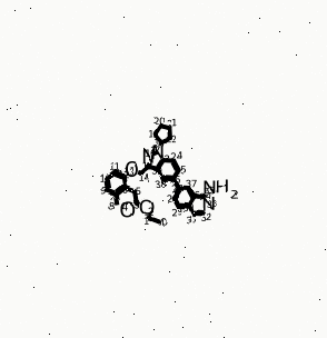 CCOC(=O)Cc1c(C)cccc1OCc1nn(C2CCCC2)c2ccc(-c3ccc4ccnc(N)c4c3)cc12